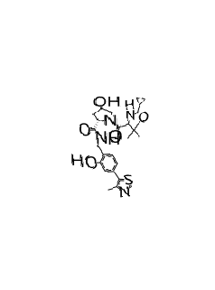 Cc1ncsc1-c1ccc(CNC(=O)[C@@H]2C[C@@H](O)CN2C(=O)[C@@H](NC(=O)C2CC2)C(C)(C)C)c(O)c1